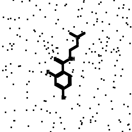 CN(C)CCNC(=S)c1ccc(Br)cc1F